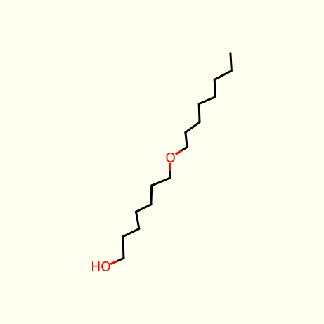 CCCCCCCCOCCCCCCCO